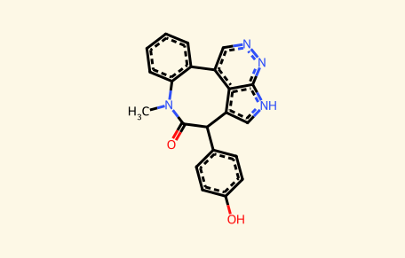 CN1C(=O)C(c2ccc(O)cc2)c2c[nH]c3nncc(c23)-c2ccccc21